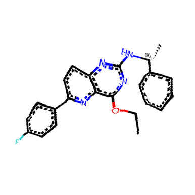 CCOc1nc(N[C@H](C)c2ccccc2)nc2ccc(-c3ccc(F)cc3)nc12